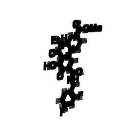 CCN1C(=O)c2c(O)c(=O)c(C(=O)NCc3ccc(F)cc3F)cn2N2CCN(C(=O)OC)C[C@@H]12